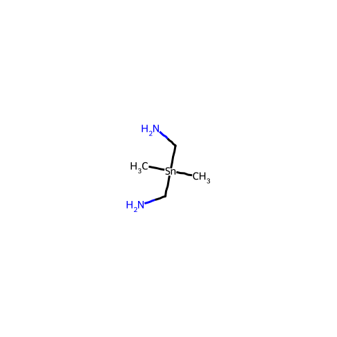 [CH3][Sn]([CH3])([CH2]N)[CH2]N